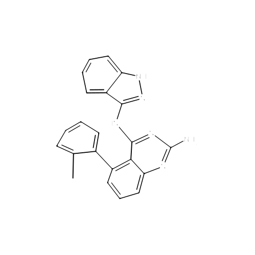 Cc1ccccc1-c1cccc2nc(N)nc(Nc3n[nH]c4ccccc34)c12